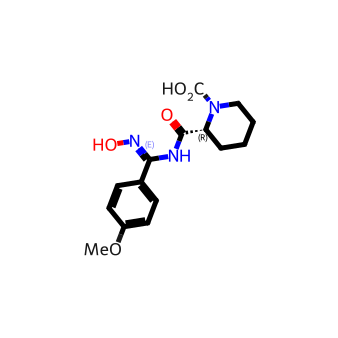 COc1ccc(/C(=N\O)NC(=O)[C@H]2CCCCN2C(=O)O)cc1